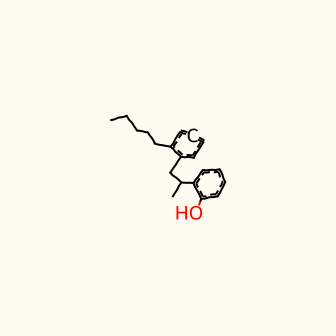 CCCCCc1ccccc1CC(C)c1ccccc1O